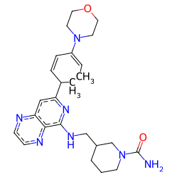 C/C=C(\C=C/C(C)c1cc2nccnc2c(NCC2CCCN(C(N)=O)C2)n1)N1CCOCC1